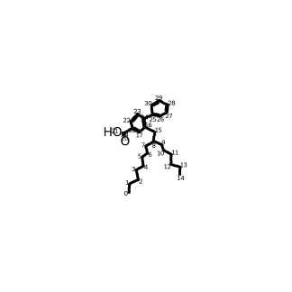 CCCCCCCCC(CCCCCC)Cc1cc(C(=O)O)ccc1-c1ccccc1